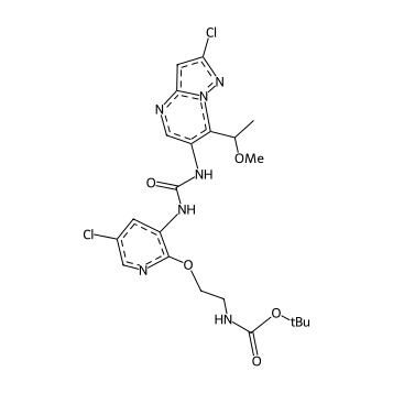 COC(C)c1c(NC(=O)Nc2cc(Cl)cnc2OCCNC(=O)OC(C)(C)C)cnc2cc(Cl)nn12